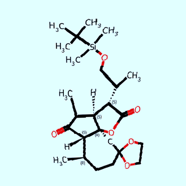 CC(CO[Si](C)(C)C(C)(C)C)[C@@H]1C(=O)O[C@@]23CC4(CC[C@@H](C)[C@@H]2C(=O)C(C)[C@@H]13)OCCO4